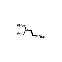 CCCCCCCCCCCN(CCCCCC)CCCCCC